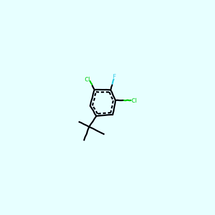 CC(C)(C)c1cc(Cl)c(F)c(Cl)c1